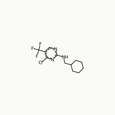 FC(F)(F)c1cnc(NCC2CCCCC2)nc1Cl